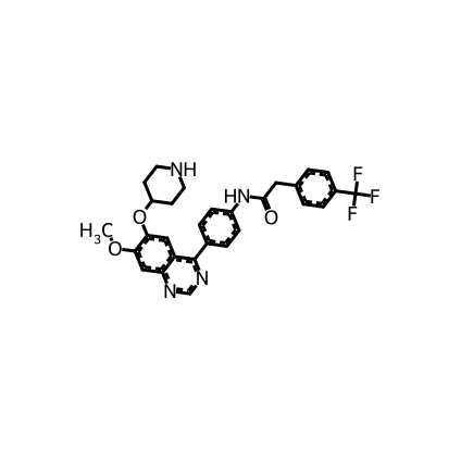 COc1cc2ncnc(-c3ccc(NC(=O)Cc4ccc(C(F)(F)F)cc4)cc3)c2cc1OC1CCNCC1